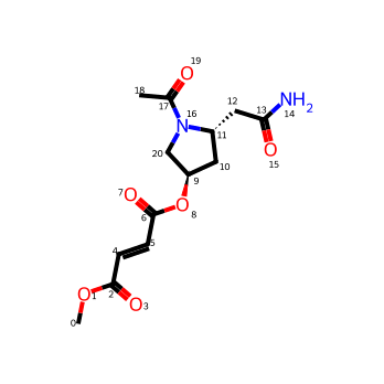 COC(=O)/C=C/C(=O)O[C@@H]1C[C@@H](CC(N)=O)N(C(C)=O)C1